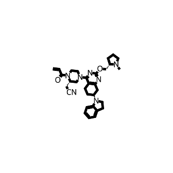 C=CC(=O)N1CCN(c2nc(OC[C@@H]3CCCN3C)nc3c2CC[C@@H](N2CCc4ccccc42)C3)C[C@@H]1CC#N